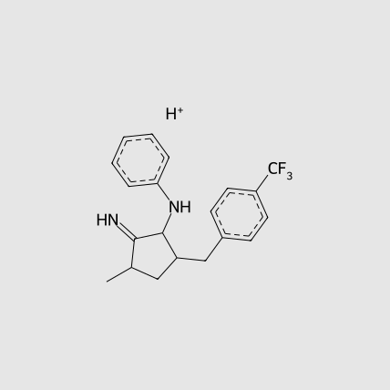 CC1CC(Cc2ccc(C(F)(F)F)cc2)C(Nc2ccccc2)C1=N.[H+]